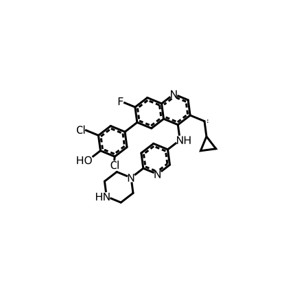 Oc1c(Cl)cc(-c2cc3c(Nc4ccc(N5CCNCC5)nc4)c([C]C4CC4)cnc3cc2F)cc1Cl